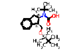 CC(C)(C)N(C(=O)O)[C@@H]1Cc2ccccc2[C@@H]1CO[Si](C)(C)C(C)(C)C